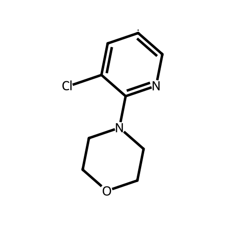 Clc1c[c]cnc1N1CCOCC1